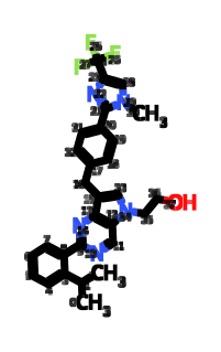 CC(C)c1ccccc1-c1ncc2c(n1)c(Cc1ccc(-c3nc(C(F)(F)F)cn3C)cc1)cn2CCO